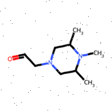 CC1CN(C[C]=O)CC(C)N1C